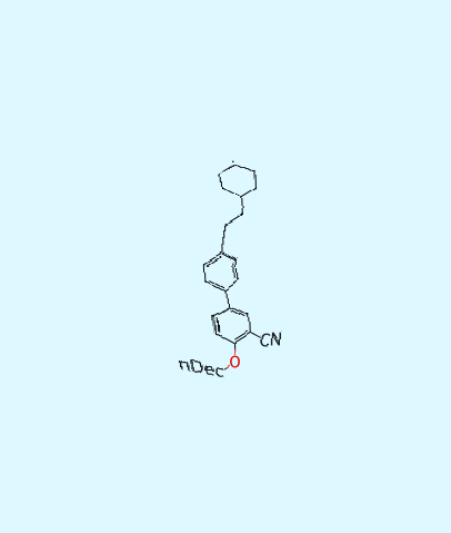 CCCCCCCCCCOc1ccc(-c2ccc(CCC3CC[CH]CC3)cc2)cc1C#N